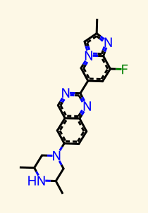 Cc1cn2cc(-c3ncc4cc(N5CC(C)NC(C)C5)ccc4n3)cc(F)c2n1